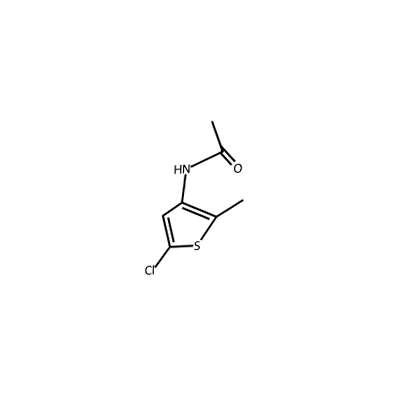 CC(=O)Nc1cc(Cl)sc1C